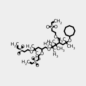 C=CS(=O)(=O)CCOCC(CC(C)(C)OC1CCCCCCC1)C(C)(C)C(C)(C)OCC(CC(C)(C)OCCS(=O)(=O)C=C)OCCS(=O)(=O)C=C